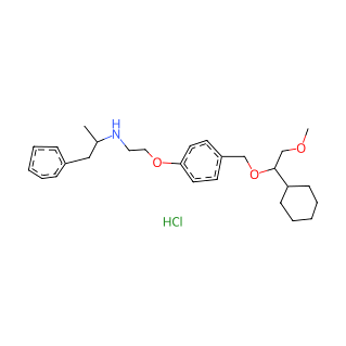 COCC(OCc1ccc(OCCNC(C)Cc2ccccc2)cc1)C1CCCCC1.Cl